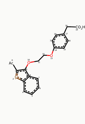 CC(=O)c1sc2ccccc2c1OCCOc1ccc(CC(=O)O)cc1